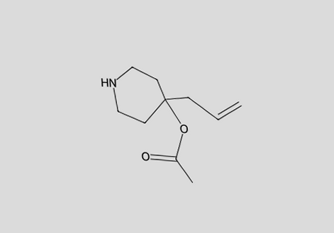 C=CCC1(OC(C)=O)CCNCC1